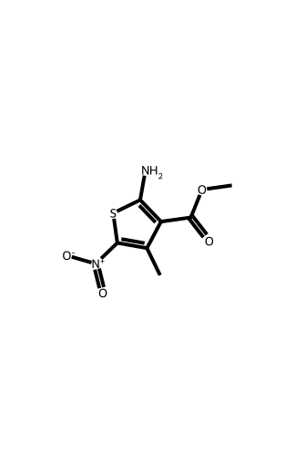 COC(=O)c1c(N)sc([N+](=O)[O-])c1C